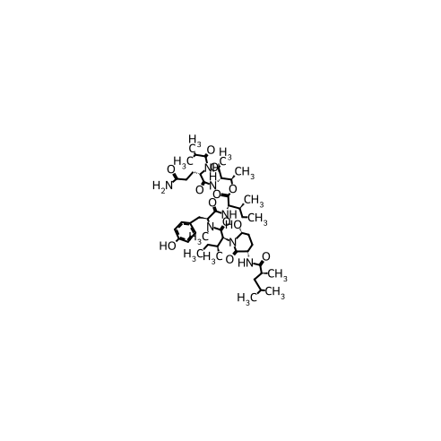 CC[C@H](C)[C@H](NC(=O)[C@H](Cc1ccc(O)cc1)N(C)C(=O)[C@H]([C@@H](C)CC)N1C(=O)[C@@H](NC(=O)[C@@H](C)CC(C)C)CC[C@H]1O)C(=O)O[C@H](C)[C@H](NC(=O)[C@H](CCC(N)=O)NC(=O)C(C)C)C(C)=O